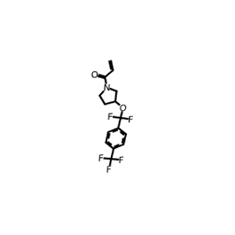 C=CC(=O)N1CCC(OC(F)(F)c2ccc(C(F)(F)F)cc2)C1